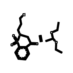 C=C.CCOC(C)OCC.O=C1CN(CCCCl)S(=O)(=O)c2ccccc21